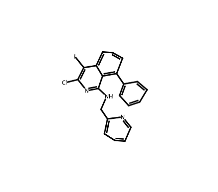 Clc1nc(NCc2ccccn2)c2c(-c3ccccc3)cccc2c1I